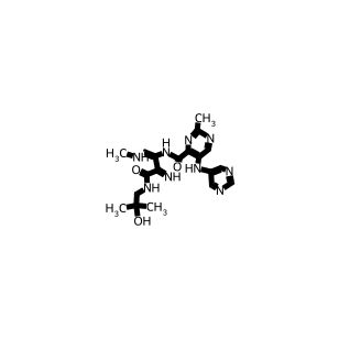 CN/C=C(/NC(=O)c1nc(C)ncc1Nc1cncnc1)C(=N)C(=O)NCC(C)(C)O